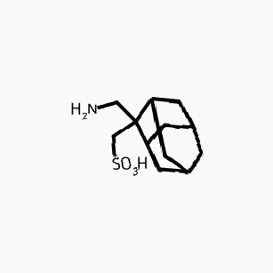 NCC1(CS(=O)(=O)O)C2CC3CC(C2)CC1C3